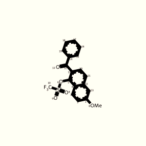 COc1ccc2c(OS(=O)(=O)C(F)(F)F)c(C(=O)c3ccccc3)ccc2c1